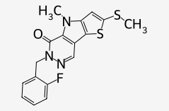 CSc1cc2c(s1)c1cnn(Cc3ccccc3F)c(=O)c1n2C